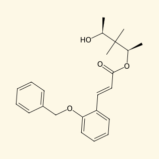 C[C@H](O)C(C)(C)[C@@H](C)OC(=O)C=Cc1ccccc1OCc1ccccc1